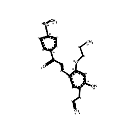 C=CCc1cc(C=CC(=O)c2ccc(NC)cc2)c(OCCC)cc1O